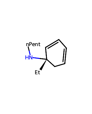 CCCCCN[C@]1(CC)C=CC=CC1